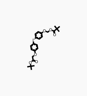 CC(C)(C)OC(=O)COc1ccc([I+]c2ccc(OCOC(=O)C(C)(C)C)cc2)cc1